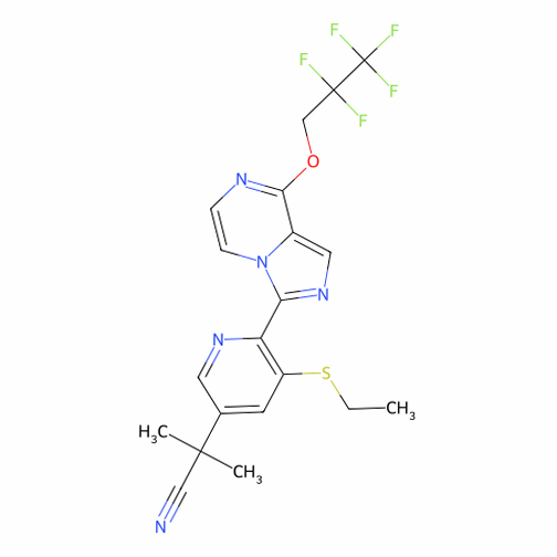 CCSc1cc(C(C)(C)C#N)cnc1-c1ncc2c(OCC(F)(F)C(F)(F)F)nccn12